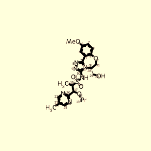 COc1ccc2c(c1)-c1nnc(NS(=O)(=O)C(C)C(OC(C)C)c3ncc(C)cn3)n1[C@@H](CO)CO2